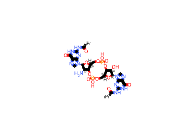 CC(C)C(=O)Nc1nc2c(ncn2[C@@H]2O[C@@H]3COP(=O)(O)OC4[C@@H](COP(=O)(O)OC3[C@@H]2N)O[C@@H](n2cnc3c(=O)[nH]c(NC(=O)C(C)C)nc32)[C@H]4O)c(=O)[nH]1